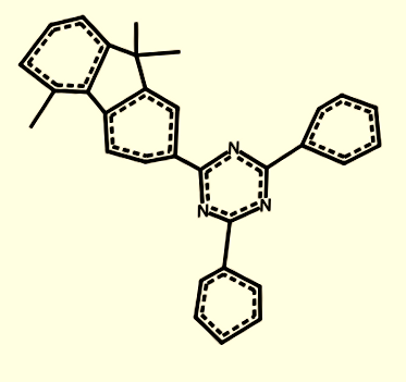 Cc1cccc2c1-c1ccc(-c3nc(-c4ccccc4)nc(-c4ccccc4)n3)cc1C2(C)C